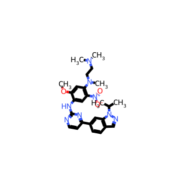 COc1cc(N(C)CCN(C)C)c([N+](=O)[O-])cc1Nc1nccc(-c2ccc3cnn(C(C)C)c3c2)n1